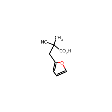 CC(C#N)(Cc1ccco1)C(=O)O